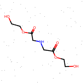 O=C(CNCC(=O)OCCO)OCCO